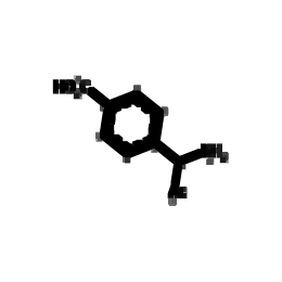 CC(=O)C(N)c1ccc(C(=O)O)cc1